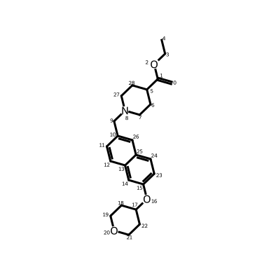 C=C(OCC)C1CCN(Cc2ccc3cc(OC4CCOCC4)ccc3c2)CC1